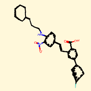 O=C(O)c1ccc(-c2ccc(F)cc2)cc1/C=C/c1ccc(NCCCC2CCCCC2)c([N+](=O)[O-])c1